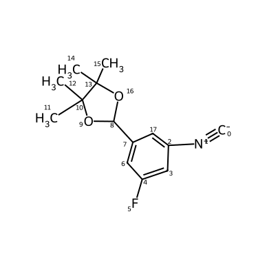 [C-]#[N+]c1cc(F)cc(C2OC(C)(C)C(C)(C)O2)c1